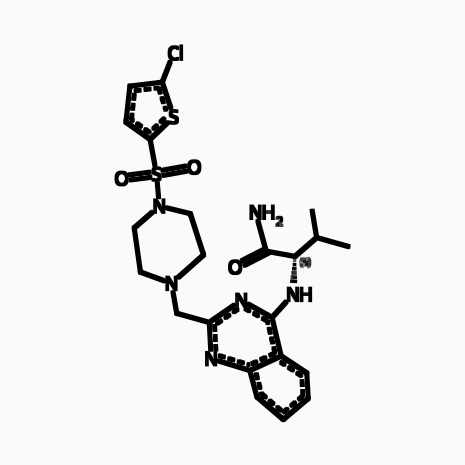 CC(C)[C@H](Nc1nc(CN2CCN(S(=O)(=O)c3ccc(Cl)s3)CC2)nc2ccccc12)C(N)=O